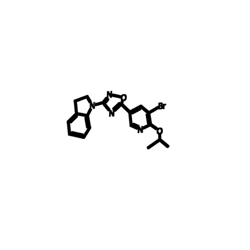 CC(C)Oc1ncc(-c2nc(N3CCc4ccccc43)no2)cc1Br